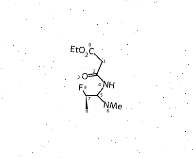 CCOC(=O)CC(=O)NC(NC)[C@@H](C)F